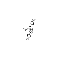 CC(CCc1ccc(O)cc1)NCC(=O)c1ccc(O)cc1